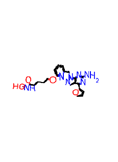 Nc1nc(-c2ccco2)c2cnn(Cc3cccc(OCCCCC(=O)NO)n3)c2n1